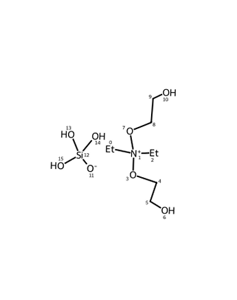 CC[N+](CC)(OCCO)OCCO.[O-][Si](O)(O)O